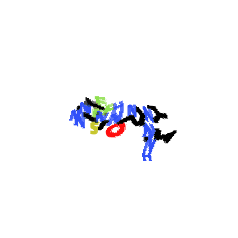 CC1CCN(c2cnc(C(=O)Nc3csc(-c4nncn4[C@@H](C)C(F)(F)F)n3)cc2N2C=C(C3CC3)NC2)C1